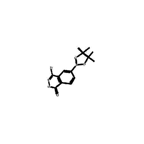 CCc1n[nH]c(=O)c2ccc(B3OC(C)(C)C(C)(C)O3)cc12